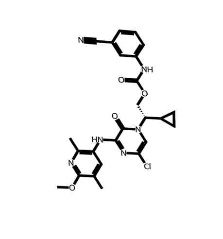 COc1nc(C)c(Nc2nc(Cl)cn([C@H](COC(=O)Nc3cccc(C#N)c3)C3CC3)c2=O)cc1C